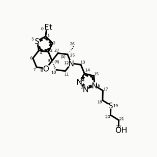 CCc1cc2c(s1)CCO[C@@]21CCN(Cc2cn(CCSCCO)nn2)[C@@H](C)C1